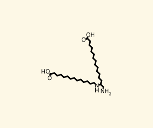 NCC(CCCCCCCCCCCCCC(=O)O)NCCCCCCCCCCCCCC(=O)O